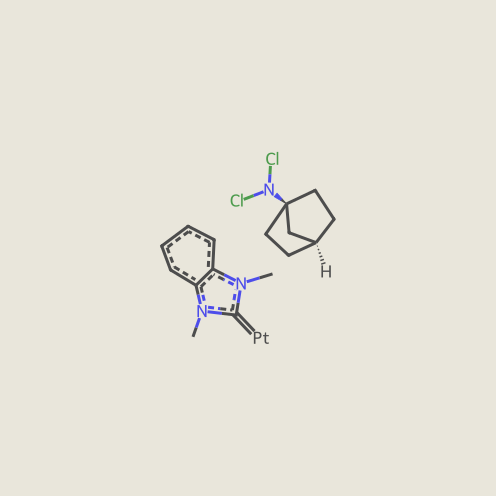 ClN(Cl)[C@]12CC[C@@H](CC1)C2.Cn1[c](=[Pt])n(C)c2ccccc21